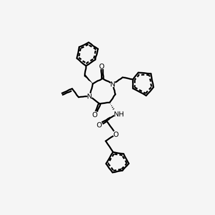 C=CCN1C(=O)[C@@H](NC(=O)OCc2ccccc2)CN(Cc2ccccc2)C(=O)[C@@H]1Cc1ccccc1